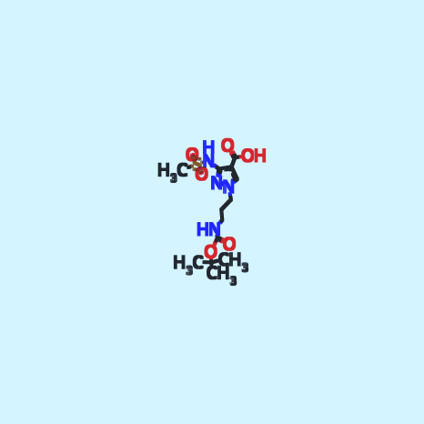 CC(C)(C)OC(=O)NCCCn1cc(C(=O)O)c(NS(C)(=O)=O)n1